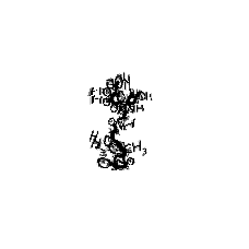 CC(CCC(=O)NCCC(=O)Nc1cc(CO)ccc1O[C@@H]1O[C@H](C(=O)O)[C@@H](O)[C@H](O)[C@H]1O)CC(C)(C)CCN1C(=O)C=CC1=O